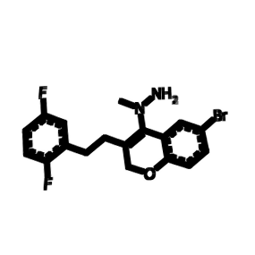 CN(N)C1=C(CCc2cc(F)ccc2F)COc2ccc(Br)cc21